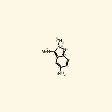 CNc1c2cc(N)ccc2nn1C